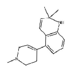 CN1CC=C(c2cccc3c2C=CC(C)(C)N3)CC1